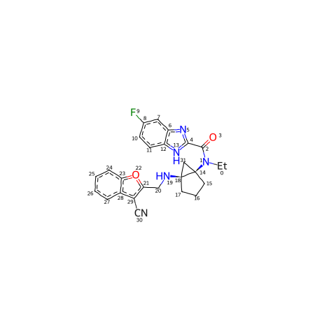 CCN(C(=O)c1nc2cc(F)ccc2[nH]1)[C@@]12CCC[C@]1(NCc1oc3ccccc3c1C#N)C2